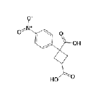 O=C(O)C1CC(C(=O)O)(c2ccc([N+](=O)[O-])cc2)C1